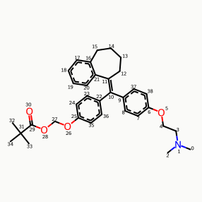 CN(C)CCOc1ccc(C(=C2CCCCc3ccccc32)c2ccc(OCOC(=O)C(C)(C)C)cc2)cc1